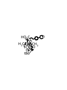 C[C@@H](OC(=O)C1(N(C)C(=O)OC(C)(C)C)CC1)C(=O)N(C)[C@@H](CC(C)(C)F)C(=O)O[C@H](CCc1ccc(C2CCOCC2)cc1)C(=O)O